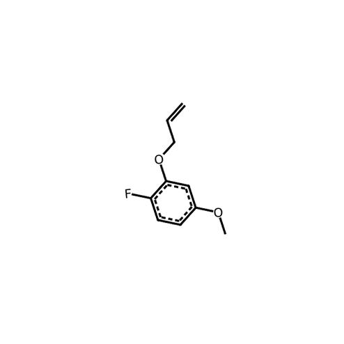 C=CCOc1cc(OC)ccc1F